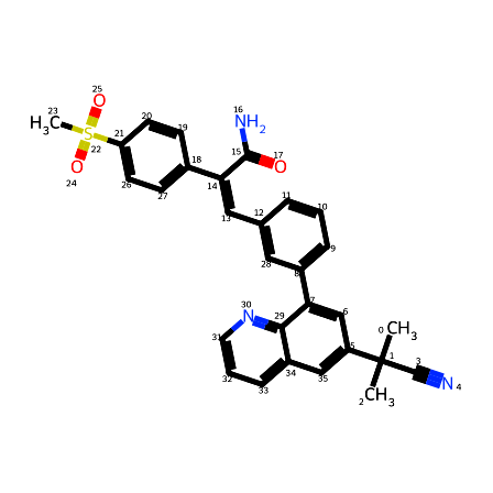 CC(C)(C#N)c1cc(-c2cccc(C=C(C(N)=O)c3ccc(S(C)(=O)=O)cc3)c2)c2ncccc2c1